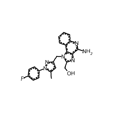 Cc1cc(Cn2c(CO)nc3c(N)nc4ccccc4c32)nn1-c1ccc(F)cc1